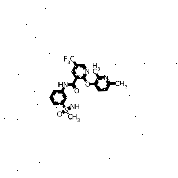 Cc1ccc(Oc2ncc(C(F)(F)F)cc2C(=O)Nc2cccc(S(C)(=N)=O)c2)c(C)n1